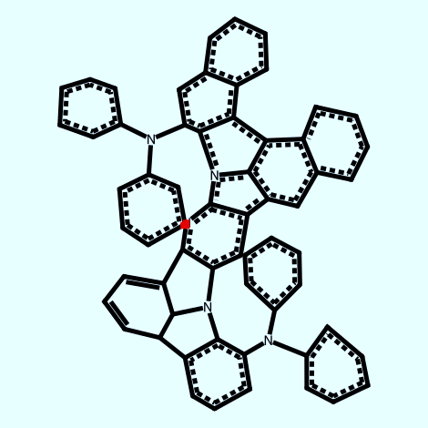 C1=CC2c3cccc(N(c4ccccc4)c4ccccc4)c3N3c4cc5c6cc7ccccc7c7c8c9ccccc9cc(N(c9ccccc9)c9ccccc9)c8n(c5nc4C(=C1)C23)c67